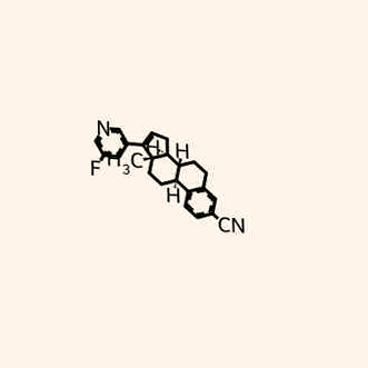 C[C@]12CC[C@@H]3c4ccc(C#N)cc4CC[C@H]3[C@@H]1CC=C2c1cncc(F)c1